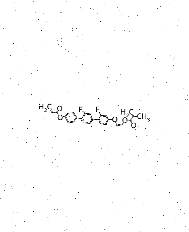 C=CC(=O)Oc1ccc(-c2ccc(-c3ccc(O/C=C\OC(=O)C(=C)C)cc3F)cc2F)cc1